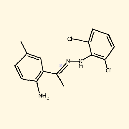 C/C(=N\Nc1c(Cl)cccc1Cl)c1cc(C)ccc1N